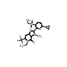 CCn1c(C(F)(F)F)cc2nc(-c3nc(C4CC4)ccc3S(=O)(=O)CC)n(C)c2c1=O